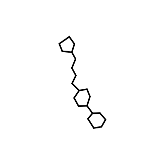 C1CCC(C2CCC(CCCCC3CCCC3)CC2)CC1